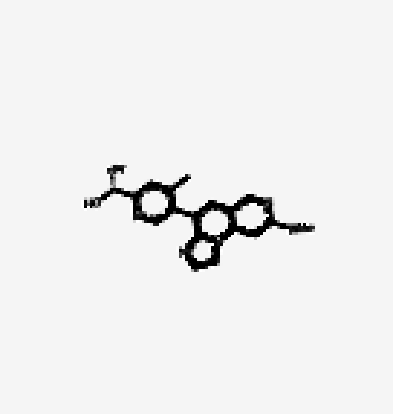 CCC[C@@H](O)c1cc(C)c(-c2cc3cnc(NC)cc3n3ccnc23)cn1